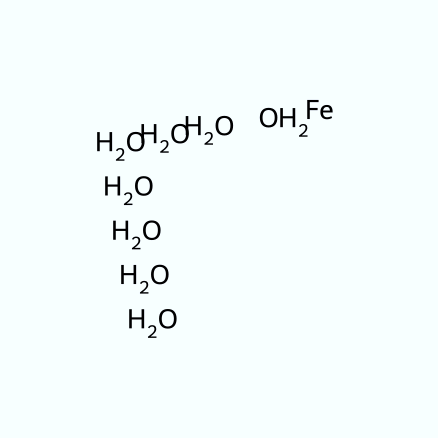 O.O.O.O.O.O.O.O.[Fe]